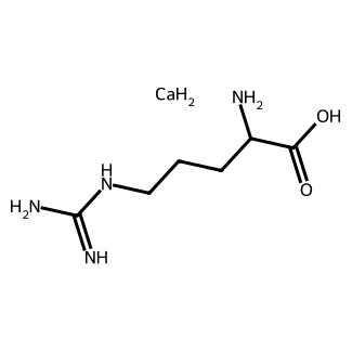 N=C(N)NCCCC(N)C(=O)O.[CaH2]